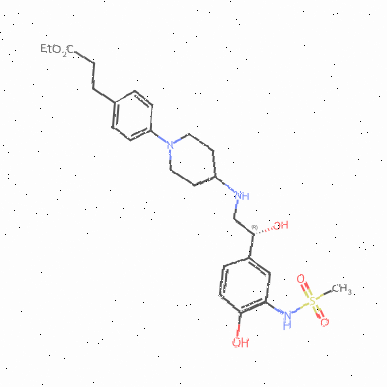 CCOC(=O)CCc1ccc(N2CCC(NC[C@H](O)c3ccc(O)c(NS(C)(=O)=O)c3)CC2)cc1